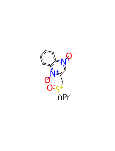 CCC[S+]([O-])Cc1c[n+]([O-])c2ccccc2[n+]1[O-]